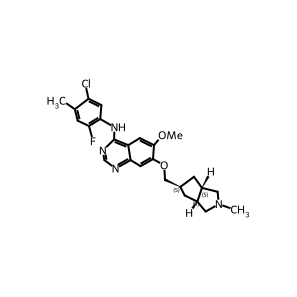 COc1cc2c(Nc3cc(Cl)c(C)cc3F)ncnc2cc1OC[C@H]1C[C@@H]2CN(C)C[C@@H]2C1